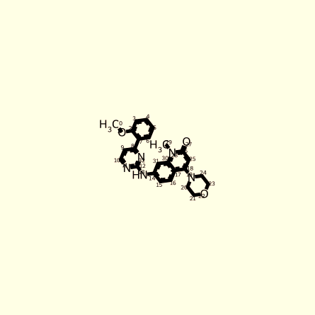 COc1ccccc1-c1ccnc(Nc2ccc3c(N4CCOCC4)cc(=O)n(C)c3c2)n1